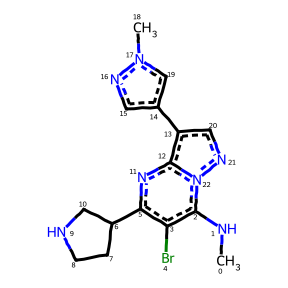 CNc1c(Br)c(C2CCNC2)nc2c(-c3cnn(C)c3)cnn12